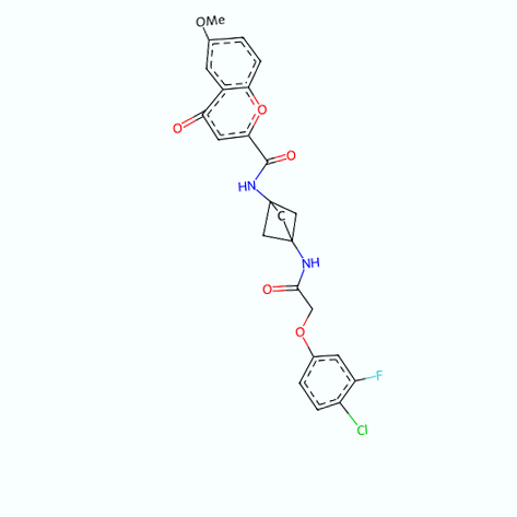 COc1ccc2oc(C(=O)NC34CC(NC(=O)COc5ccc(Cl)c(F)c5)(C3)C4)cc(=O)c2c1